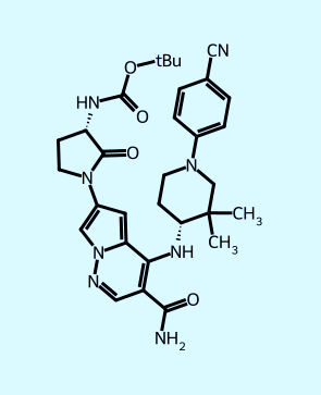 CC(C)(C)OC(=O)N[C@H]1CCN(c2cc3c(N[C@@H]4CCN(c5ccc(C#N)cc5)CC4(C)C)c(C(N)=O)cnn3c2)C1=O